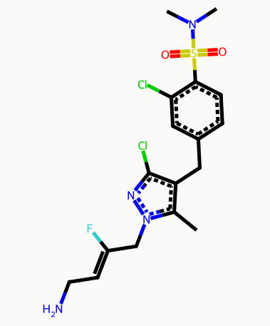 Cc1c(Cc2ccc(S(=O)(=O)N(C)C)c(Cl)c2)c(Cl)nn1C/C(F)=C/CN